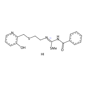 CS/C(=N\CCSCc1ncccc1O)NC(=O)c1ccccc1.I